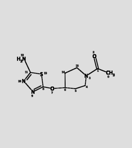 CC(=O)N1CCC(Oc2nnc(N)s2)CC1